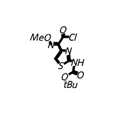 CON=C(C(=O)Cl)c1csc(NC(=O)OC(C)(C)C)n1